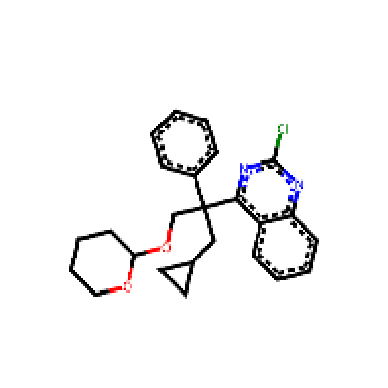 Clc1nc(C(COC2CCCCO2)(CC2CC2)c2ccccc2)c2ccccc2n1